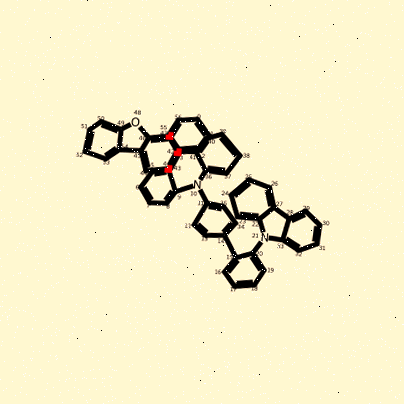 c1ccc(-c2ccccc2N(c2ccc(-c3ccccc3-n3c4ccccc4c4ccccc43)cc2)c2ccccc2-c2ccc3c(c2)oc2ccccc23)cc1